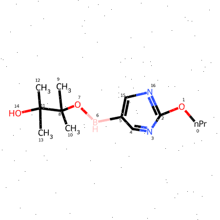 CCCOc1ncc(BOC(C)(C)C(C)(C)O)cn1